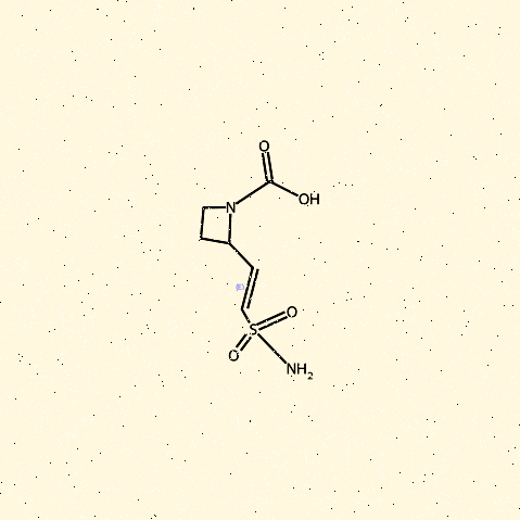 NS(=O)(=O)/C=C/C1CCN1C(=O)O